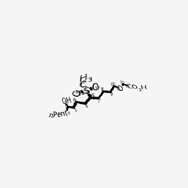 CCCCCC(O)CCCC(CCCCOCC(=O)O)S(C)(=O)=O